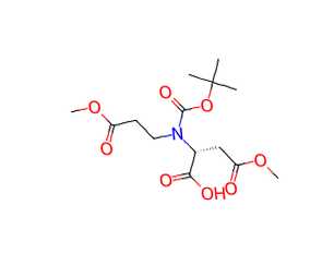 COC(=O)CCN(C(=O)OC(C)(C)C)[C@H](CC(=O)OC)C(=O)O